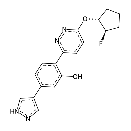 Oc1cc(-c2cn[nH]c2)ccc1-c1ccc(O[C@@H]2CCC[C@H]2F)nn1